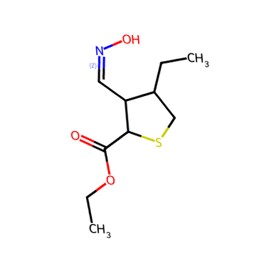 CCOC(=O)C1SCC(CC)C1/C=N\O